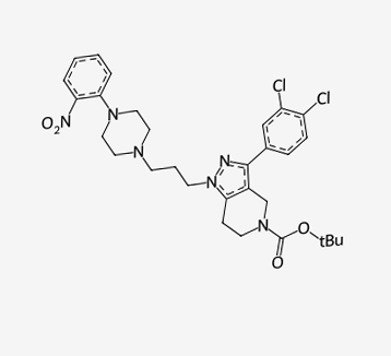 CC(C)(C)OC(=O)N1CCc2c(c(-c3ccc(Cl)c(Cl)c3)nn2CCCN2CCN(c3ccccc3[N+](=O)[O-])CC2)C1